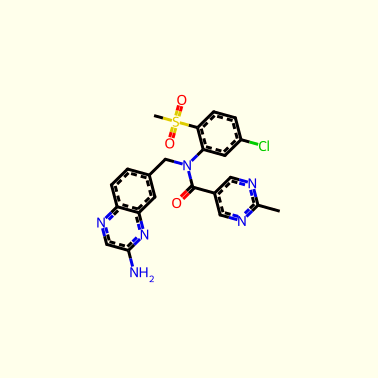 Cc1ncc(C(=O)N(Cc2ccc3ncc(N)nc3c2)c2cc(Cl)ccc2S(C)(=O)=O)cn1